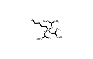 COC(C)O[Si](CCCCCl)(OC(C)OC)OC(C)OC